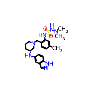 Cc1ccc(CN2CCC[C@H](Nc3ccc4[nH]ncc4c3)C2)c(NS(=O)(=O)NN(C)C)c1